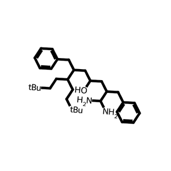 CC(C)(C)CCC(CCC(C)(C)C)C(Cc1ccccc1)CC(O)CC(Cc1ccccc1)C(N)N